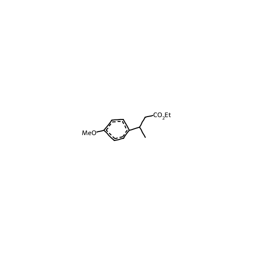 CCOC(=O)CC(C)c1ccc(OC)cc1